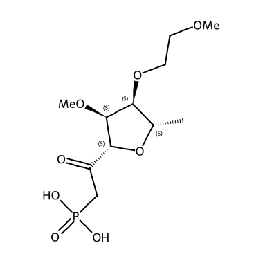 COCCO[C@@H]1[C@H](OC)[C@@H](C(=O)CP(=O)(O)O)O[C@H]1C